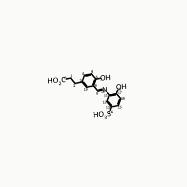 O=C(O)CCc1ccc(O)c(/C=N/c2cc(S(=O)(=O)O)ccc2O)c1